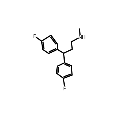 CNCCC(c1ccc(F)cc1)c1ccc(F)cc1